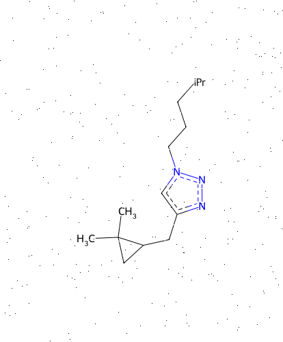 CC(C)CCCn1cc(CC2CC2(C)C)nn1